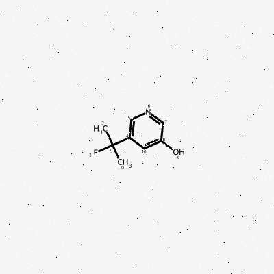 CC(C)(F)c1cncc(O)c1